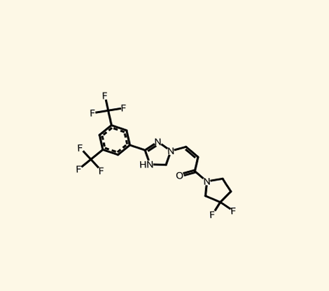 O=C(/C=C\N1CNC(c2cc(C(F)(F)F)cc(C(F)(F)F)c2)=N1)N1CCC(F)(F)C1